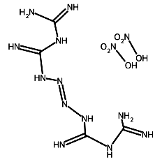 N=C(N)NC(=N)NN=NNC(=N)NC(=N)N.O=[N+]([O-])O.O=[N+]([O-])O